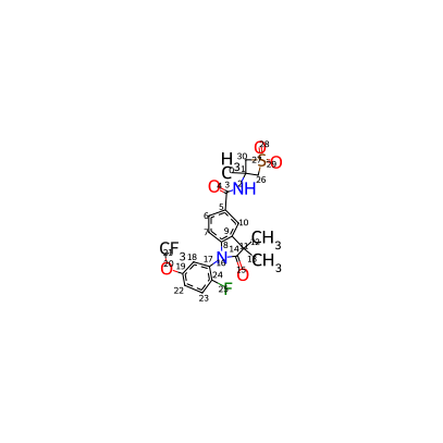 CC1(NC(=O)c2ccc3c(c2)C(C)(C)C(=O)N3c2cc(OC(F)(F)F)ccc2F)CS(=O)(=O)C1